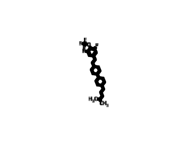 CC(C)CCCC1CCC(C2CCC(CCc3cc(F)c(OC(F)(F)F)c(F)c3)CC2)CC1